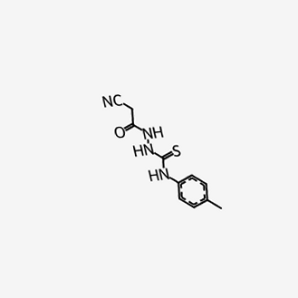 Cc1ccc(NC(=S)NNC(=O)CC#N)cc1